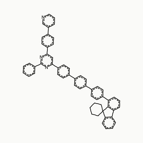 c1ccc(-c2nc(-c3ccc(-c4ccc(-c5ccc(-c6cccc7c6C6(CCCCC6)c6ccccc6-7)cc5)cc4)cc3)cc(-c3ccc(-c4cccnc4)cc3)n2)cc1